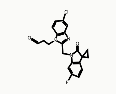 O=CCCn1c(CN2C(=O)C3(CC3)c3ccc(F)cc32)nc2cc(Cl)ccc21